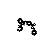 COC(=O)c1nn(CC2CCN(C(=O)OCc3ccccc3)CC2)c2ccccc12